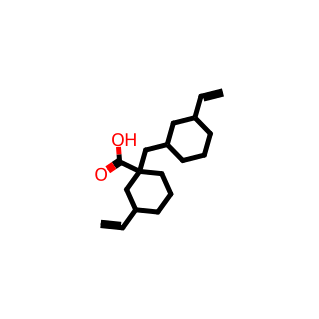 C=CC1CCCC(CC2(C(=O)O)CCCC(C=C)C2)C1